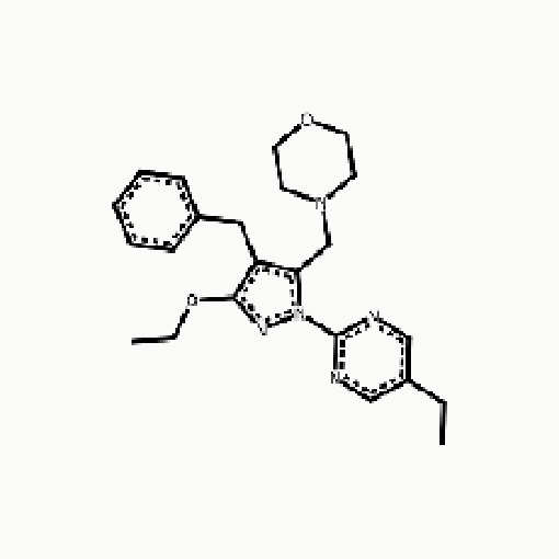 CCOc1nn(-c2ncc(CC)cn2)c(CN2CCOCC2)c1Cc1ccccc1